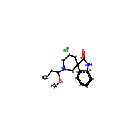 CCC(OC)N1CCCC2(C1)C(=O)Nc1ccccc12.Cl